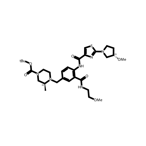 COCCNC(=O)c1cc(CN2CCN(C(=O)OC(C)(C)C)C[C@@H]2C)ccc1NC(=O)c1csc(N2CC[C@H](OC)C2)n1